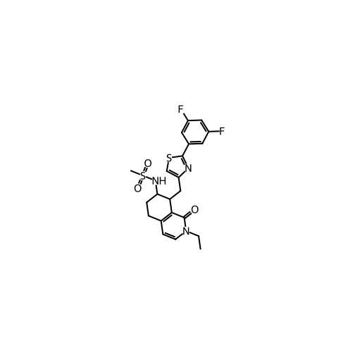 CCn1ccc2c(c1=O)C(Cc1csc(-c3cc(F)cc(F)c3)n1)C(NS(C)(=O)=O)CC2